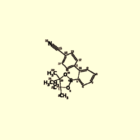 CC1(C)OB(c2ccccc2-c2ccc(C#N)cc2)OC1(C)C